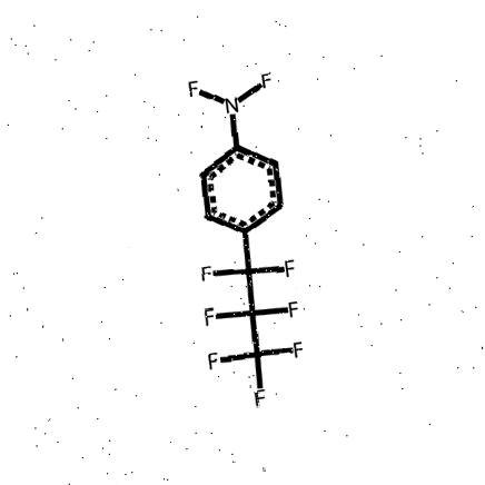 FN(F)c1ccc(C(F)(F)C(F)(F)C(F)(F)F)cc1